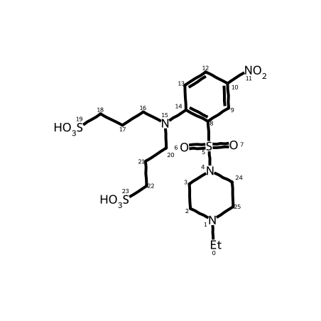 CCN1CCN(S(=O)(=O)c2cc([N+](=O)[O-])ccc2N(CCCS(=O)(=O)O)CCCS(=O)(=O)O)CC1